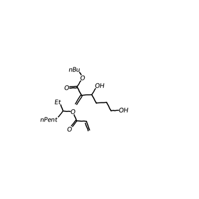 C=C(C(=O)OCCCC)C(O)CCCO.C=CC(=O)OC(CC)CCCCC